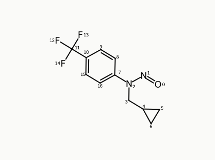 O=NN(CC1CC1)c1ccc(C(F)(F)F)cc1